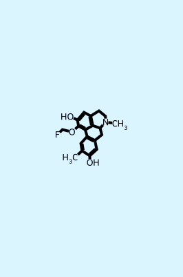 Cc1cc2c(cc1O)CC1c3c(cc(O)c(OCF)c3-2)CCN1C